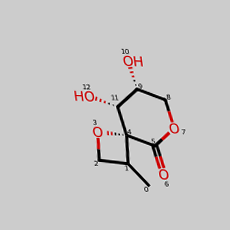 CC1CO[C@]12C(=O)OC[C@@H](O)[C@H]2O